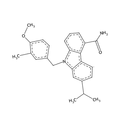 COc1ccc(Cn2c3cc(C(C)C)c[c]c3c3c(C(N)=O)cccc32)cc1C